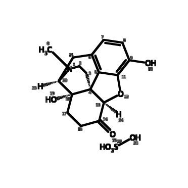 CN1CC[C@]23c4c5ccc(O)c4O[C@H]2C(=O)CC[C@@]3(O)[C@H]1C5.O=S(=O)(O)O